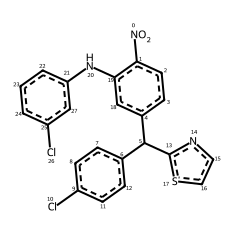 O=[N+]([O-])c1ccc(C(c2ccc(Cl)cc2)c2nccs2)cc1Nc1cccc(Cl)c1